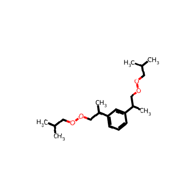 CC(C)COOCC(C)c1cccc(C(C)COOCC(C)C)c1